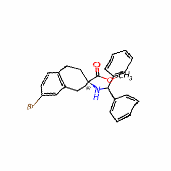 COC(=O)[C@@]1(NC(c2ccccc2)c2ccccc2)CCc2ccc(Br)cc2C1